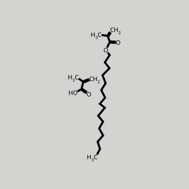 C=C(C)C(=O)O.C=C(C)C(=O)OCCCCCCCCCCCCCCCC